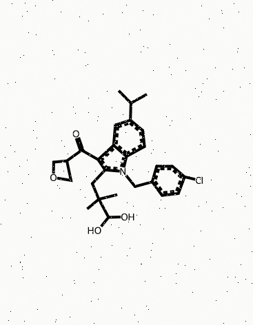 CC(C)c1ccc2c(c1)c(C(=O)C1COC1)c(CC(C)(C)C(O)O)n2Cc1ccc(Cl)cc1